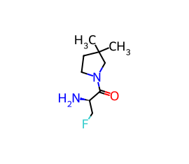 CC1(C)CCN(C(=O)[C@H](N)CF)C1